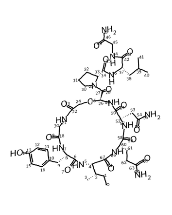 CC[C@H](C)[C@@H]1NC(=O)[C@H](Cc2ccc(O)cc2)NC(=O)CNC(=O)CC[C@@H](C(=O)N2CCC[C@@H]2C(=O)N[C@@H](CC(C)C)C(=O)NCC(N)=O)NC(=O)[C@H](CC(N)=O)NC(=O)[C@H](CCC(N)=O)NC1=O